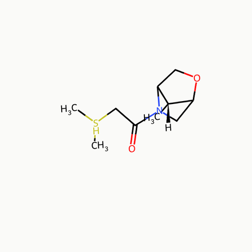 C[C@H]1C2CN(C(=O)C[SH](C)C)C1CO2